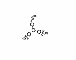 O=S(=O)(O)c1ccc(-c2cc(-c3ccc(SOOO)cc3)cc(-c3ccc(S(=O)(=O)O)cc3)c2)cc1